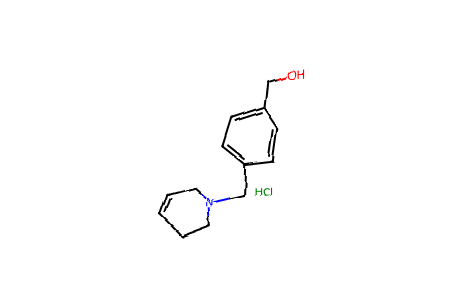 Cl.OCc1ccc(CN2CC=CCC2)cc1